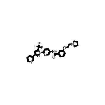 O=C(Nc1ccc(-n2nc(-c3cccnc3)cc2C(F)(F)F)nc1)c1cccc(OCCN2CCCC2)c1